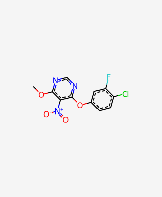 COc1ncnc(Oc2ccc(Cl)c(F)c2)c1[N+](=O)[O-]